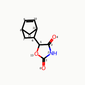 O=C1NC(=O)C(C2CC3C=CC2C3)O1